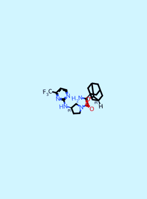 NC(=O)[C@]12CC3CC(C1)C(OC(=O)N1CC[C@@H](Nc4nccc(C(F)(F)F)n4)C1)[C@H](C3)C2